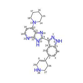 C1=C(c2ccc3[nH]nc(-c4nc5c(N6CCCCC6)ccnc5[nH]4)c3c2)CCNC1